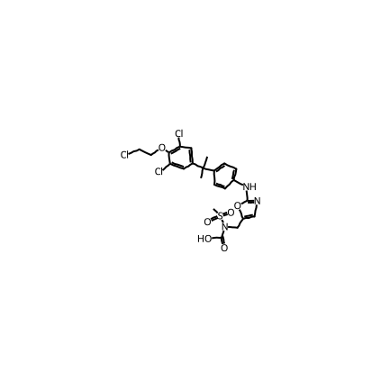 CC(C)(c1ccc(Nc2ncc(CN(C(=O)O)S(C)(=O)=O)o2)cc1)c1cc(Cl)c(OCCCl)c(Cl)c1